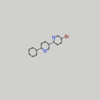 Brc1ccc(-c2ccc(-c3ccccc3)nc2)nc1